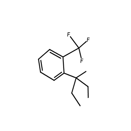 CCC(C)(CC)c1ccccc1C(F)(F)F